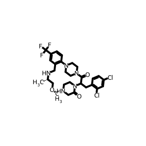 COC[C@H](C)NCc1cc(C(F)(F)F)ccc1N1CCN(C(=O)C(Cc2ccc(Cl)cc2Cl)N2CCNCC2=O)CC1